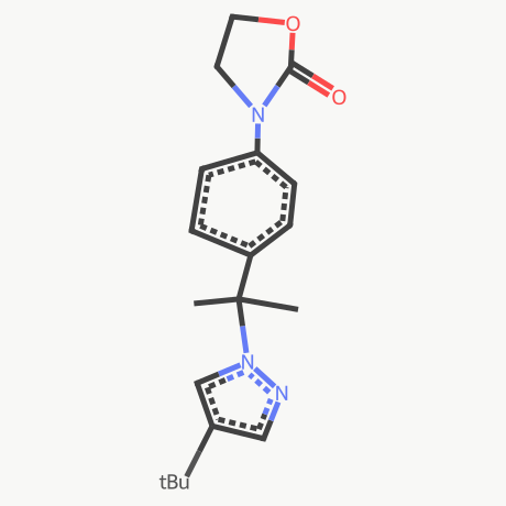 CC(C)(C)c1cnn(C(C)(C)c2ccc(N3CCOC3=O)cc2)c1